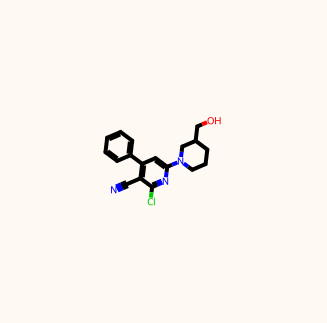 N#Cc1c(-c2ccccc2)cc(N2CCCC(CO)C2)nc1Cl